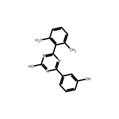 Cc1cccc(C)c1-c1nc(O)nc(-c2cccc(O)c2)n1